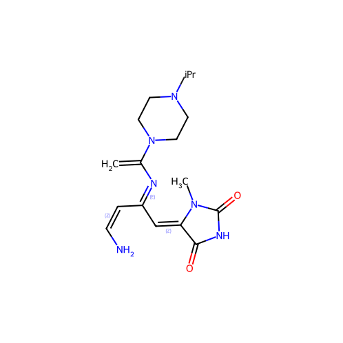 C=C(/N=C(\C=C/N)/C=C1/C(=O)NC(=O)N1C)N1CCN(C(C)C)CC1